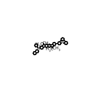 CC1(C)c2cc(-c3ccc4c(c3)c3cccc5c6ccccc6n4c53)ccc2-c2cc3cc4c(cc3cc21)-c1ccc(N(c2ccccc2)c2ccc3ccccc3c2)cc1C4(C)C